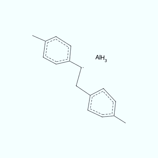 Cc1ccc([CH]Cc2ccc(C)cc2)cc1.[AlH3]